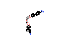 C[Si](C)(COc1ccc(-c2ccc(C#N)cc2)cc1)O[Si](C)(C)COc1ccc(-c2ccc(C#N)cc2)cc1